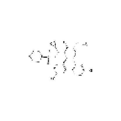 O=C(O)C[C@@H]1O[C@H](c2cccc(Cl)c2)[C@@H](c2ccc(Cl)cc2)N([C@H](CS(=O)(=O)N2CCOCC2)C2CC2)C1=O